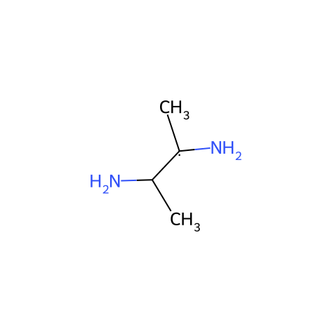 C[C](N)C(C)N